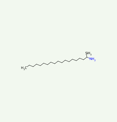 CCCCCCCCCCCCCCCCCC(N)[SiH3]